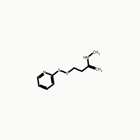 C=C(CCSSc1ccccn1)NC